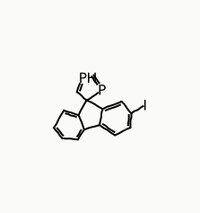 C=PC1(C=P)c2ccccc2-c2ccc(I)cc21